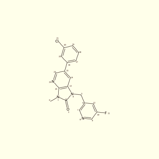 Cn1c(=O)n(Cc2cncc(F)c2)c2cc(-c3cccc(Cl)c3)cnc21